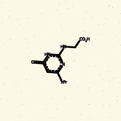 CCCc1cc(=O)[nH]c(NCC(=O)O)n1